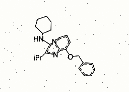 CC(C)c1nc2c(OCc3ccccc3)cccn2c1NC1CCCCC1